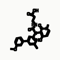 COc1cccc(-c2cc(C)cc(N(C(=O)NCCC(=O)O)c3c(O)ccn(C)c3=O)c2)c1